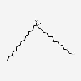 CCCCCCCCCCCCCC[N+](C)([O-])CCCCCCCCCCCCCC